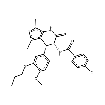 CCCOc1cc([C@@H]2c3c(C)nn(C)c3NC(=O)[C@@H]2NC(=O)c2ccc(Cl)cc2)ccc1OC